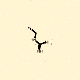 CC[CH]NC(=N)N